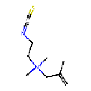 C=C(C)C[N+](C)(C)CCN=C=S